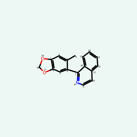 Cc1cc2c(cc1-c1nccc3ccccc13)OCO2